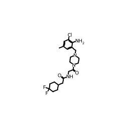 Cc1cc(Cl)c(N)c(CN2CCN(C(=O)CNC(=O)CC3CCC(F)(F)CC3)CC2)c1